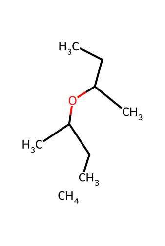 C.CCC(C)OC(C)CC